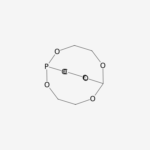 C1COP2OCCOC(O1)OCCO2